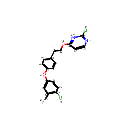 FC(F)(F)c1cc(Oc2ccc(CCOc3ccnc(Cl)n3)cc2)ccc1Cl